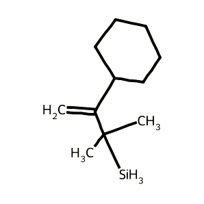 C=C(C1CCCCC1)C(C)(C)[SiH3]